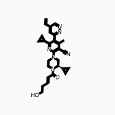 C=Cc1cnnc(-c2c(C3CC3)nc(N3CCN(C(=O)/C=C/CCO)[C@H](C4CC4)C3)c(C#N)c2C)c1